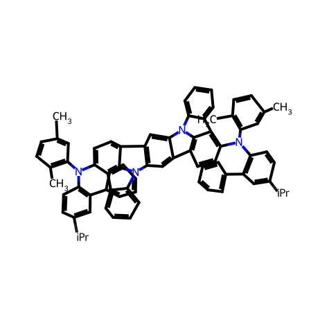 Cc1ccc(C)c(N(c2ccc(C(C)C)cc2-c2ccccc2)c2ccc3c4cc5c(cc4n4c6ccccc6c2c34)c2ccc(N(c3cc(C)ccc3C)c3ccc(C(C)C)cc3-c3ccccc3)c3c4ccccc4n5c23)c1